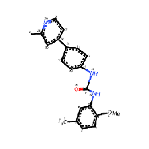 COc1ccc(C(F)(F)F)cc1NC(=O)Nc1ccc(-c2ccnc(C)c2)cc1